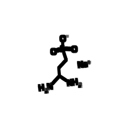 NC(N)CCS(=O)(=O)[O-].[Na+]